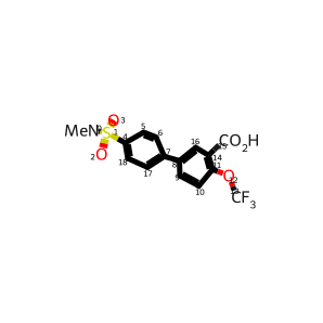 CNS(=O)(=O)c1ccc(-c2ccc(OC(F)(F)F)c(C(=O)O)c2)cc1